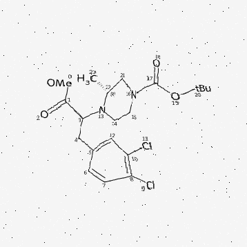 COC(=O)C(Cc1ccc(Cl)c(Cl)c1)N1CCN(C(=O)OC(C)(C)C)C[C@H]1C